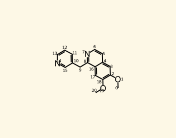 COc1cc2ccnc(Cc3cccnc3)c2cc1OC